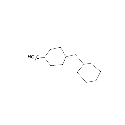 O=C(O)C1CCC(CC2CCCCC2)CC1